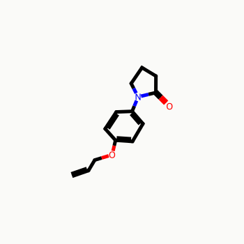 C=CCOc1ccc(N2CCCC2=O)cc1